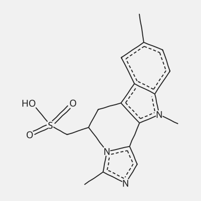 Cc1ccc2c(c1)c1c(n2C)-c2cnc(C)n2C(CS(=O)(=O)O)C1